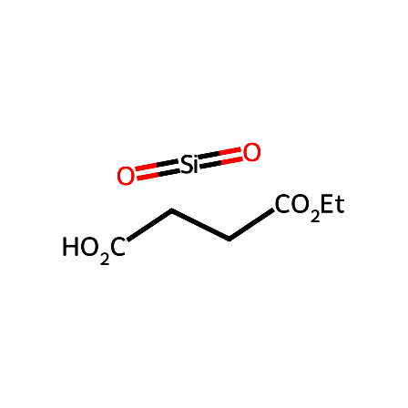 CCOC(=O)CCC(=O)O.O=[Si]=O